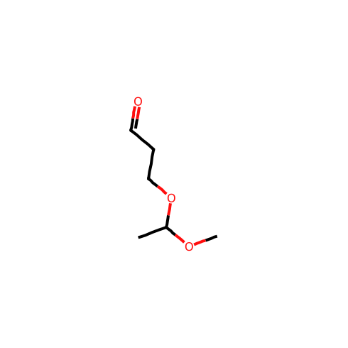 COC(C)OCCC=O